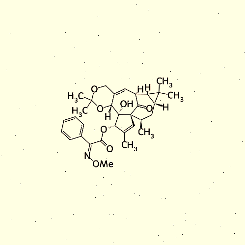 CO/N=C(\C(=O)O[C@H]1C(C)=C[C@]23C(=O)[C@@H](C=C4COC(C)(C)O[C@H]4[C@]12O)[C@H]1[C@@H](C[C@H]3C)C1(C)C)c1ccccc1